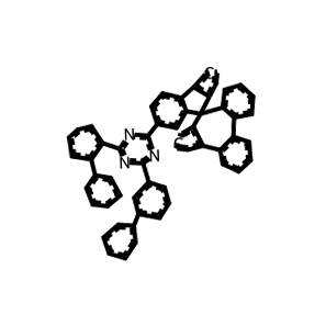 c1ccc(-c2cccc(-c3nc(-c4ccc5c(c4)C4(c6ccccc6-c6ccccc6-c6ccccc64)c4ccccc4-5)nc(-c4ccccc4-c4ccccc4)n3)c2)cc1